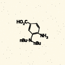 CCCCN(CCCC)c1cc(C(=O)O)ccc1N